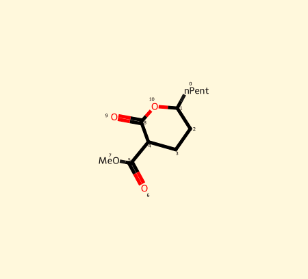 CCCCCC1CCC(C(=O)OC)C(=O)O1